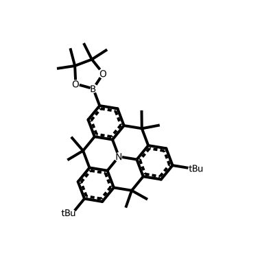 CC(C)(C)c1cc2c3c(c1)C(C)(C)c1cc(C(C)(C)C)cc4c1N3c1c(cc(B3OC(C)(C)C(C)(C)O3)cc1C4(C)C)C2(C)C